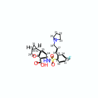 O=C(O)c1c(NS(=O)(=O)c2ccc(F)cc2C=CCN2CCCC2)ccc2c1OC[C@H]1C[C@@H]21